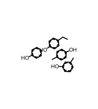 CCc1ccc(O)cc1.Cc1ccc(O)cc1.Cc1cccc(O)c1.Oc1ccccc1